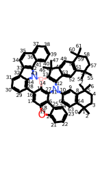 CC1(C)CCC(C)(C)c2cc(N3C4=C(B5c6c(cc7oc8ccccc8c7c63)-c3cccc6c7ccc8ccccc8c7n5c36)C(C)(C)c3cc5c(cc34)C(C)(C)CCC5(C)C)ccc21